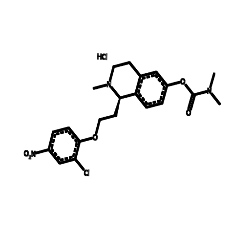 CN(C)C(=O)Oc1ccc2c(c1)CCN(C)[C@@H]2CCOc1ccc([N+](=O)[O-])cc1Cl.Cl